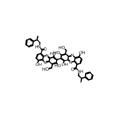 CC(CNC(=O)c1ccc(O)c2nc3c(CO)c(O)c(-c4c(O)c(CO)c5nc6c(O)ccc(C(=O)NCC(C)c7ccccc7)c6nc5c4O)c(O)c3nc12)c1ccccc1